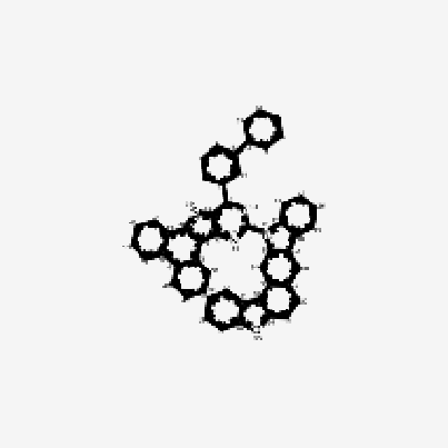 c1ccc(-c2cccc(-c3nc(-n4c5ccccc5c5cc6ccc7oc8ccccc8c7c6cc54)nc4c3sc3c5ccccc5c5ccccc5c43)c2)cc1